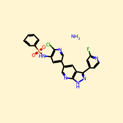 N.O=S(=O)(Nc1cc(-c2cnc3[nH]nc(-c4ccnc(F)c4)c3c2)cnc1Cl)c1ccccc1